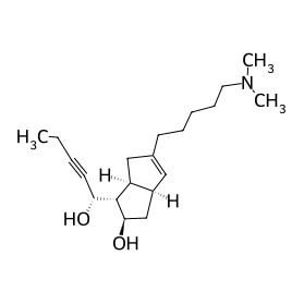 CCC#C[C@@H](O)[C@@H]1[C@H]2CC(CCCCCN(C)C)=C[C@H]2C[C@H]1O